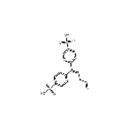 C=CCN=C(c1ccc(S(=O)(=O)O)cc1)c1ccc(S(=O)(=O)O)cc1